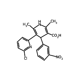 CC1=C(C(=O)O)C(c2cccc([N+](=O)[O-])c2)C(c2cccc(Cl)n2)=C(C)N1